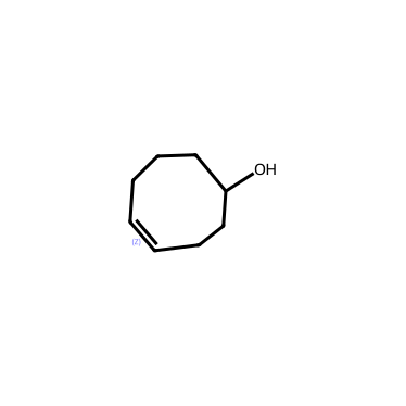 OC1CC/C=C\CCC1